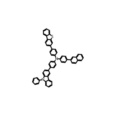 c1ccc(-n2c3ccccc3c3cc(-c4ccc(N(c5ccc(-c6ccc7ccccc7c6)cc5)c5ccc(-c6ccc7c(c6)sc6ccccc67)cc5)cc4)ccc32)cc1